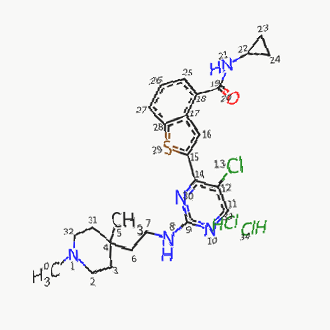 CN1CCC(C)(CCNc2ncc(Cl)c(-c3cc4c(C(=O)NC5CC5)cccc4s3)n2)CC1.Cl.Cl